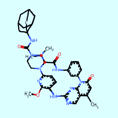 COc1nc(N2CCN(C(=O)NC34CC5CC(CC3C5)C4)CC2)ccc1Nc1ncc2c(C)cc(=O)n(-c3cccc(NC(=O)CN(C)C)c3)c2n1